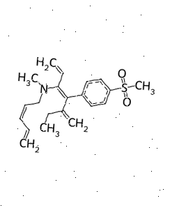 C=C/C=C\CN(C)/C(C=C)=C(\C(=C)CC)c1ccc(S(C)(=O)=O)cc1